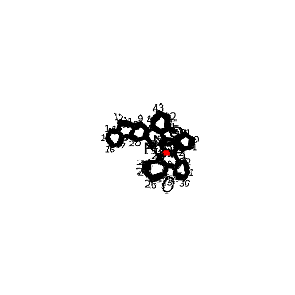 c1ccc(C2N=C(c3ccc4ccc5ccccc5c4c3)N=C(c3cccc4oc5cccc(-c6ccc7c(c6)oc6ccccc67)c5c34)N2)cc1